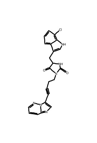 O=C1NC(Cc2c[nH]c3c(Cl)cccc23)C(=O)N1CCC#Cc1cnc2cccnn12